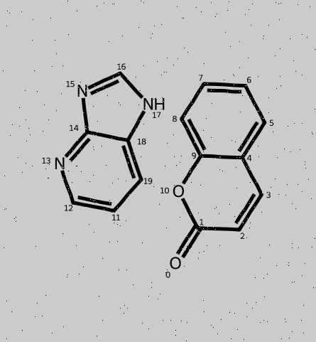 O=c1ccc2ccccc2o1.c1cnc2nc[nH]c2c1